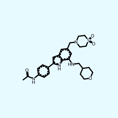 CC(=O)Nc1ccc(-c2cc3cc(CN4CCS(=O)(=O)CC4)cc(NCC4CCOCC4)c3[nH]2)cc1